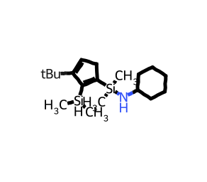 C[SiH](C)C1=C([Si](C)(C)NC2CCCCC2)CC=C1C(C)(C)C